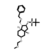 COCO[C@@H]1CC[C@@H]2[C@@H](C1)C[C@H](O[Si](C)(C)C(C)(C)C)[C@H]2COCc1ccccc1